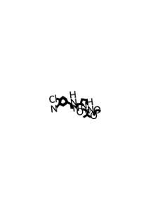 COC(=O)N[C@H](C(=O)N1CCCC1c1ncc(-c2ccc(Cl)c(C#N)c2)[nH]1)C(C)C